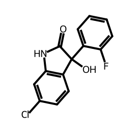 O=C1Nc2cc(Cl)ccc2C1(O)c1ccccc1F